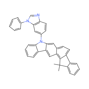 CC1(C)c2ccccc2-c2ccc3cc4c(cc3c21)c1ccccc1n4-c1ccc2ncn(-c3ccccc3)c2c1